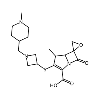 CC1C(SC2CN(CC3CCN(C)CC3)C2)=C(C(=O)O)N2C(=O)C3(CO3)C12